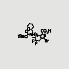 CC1N(C[C@H](NC(=O)OC(C)(C)C)C2CCCCO2)c2c(C(=O)O)sc(Br)c2CC1(F)F